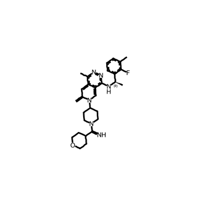 C=C1C=c2c(C)nnc(N[C@H](C)c3cccc(C)c3F)c2=CN1C1CCN(C(=N)C2CCOCC2)CC1